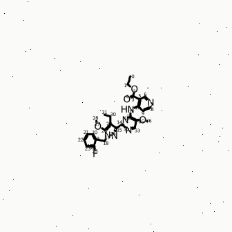 CCOC(=O)c1cnccc1Nc1nc(-c2nn(Cc3ccccc3F)c(OC)c2CC)ncc1OC